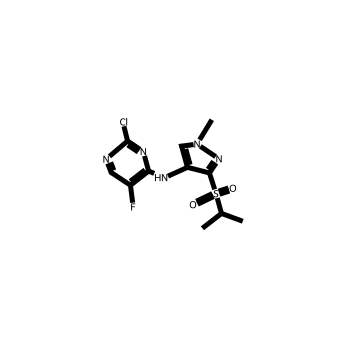 CC(C)S(=O)(=O)c1nn(C)cc1Nc1nc(Cl)ncc1F